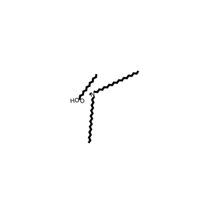 CCCCCCCCCCCC(=O)O.CCCCCCCCCCCCCCCCCCCN(C)CCCCCCCCCCCCCCCCCC